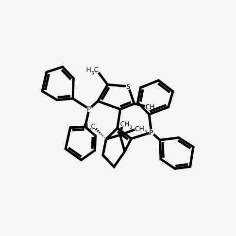 Cc1sc(C)c(P(c2ccccc2)c2ccccc2)c1C1=C(P(c2ccccc2)c2ccccc2)C2CC[C@]1(C)C2(C)C